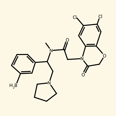 Bc1cccc(C(CN2CCCC2)N(C)C(=O)CN2C(=O)COc3cc(Cl)c(Cl)cc32)c1